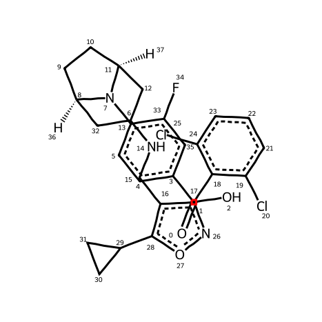 O=C(O)c1ccc(N2[C@@H]3CC[C@H]2CC(NCc2c(-c4c(Cl)cccc4Cl)noc2C2CC2)C3)c(F)c1